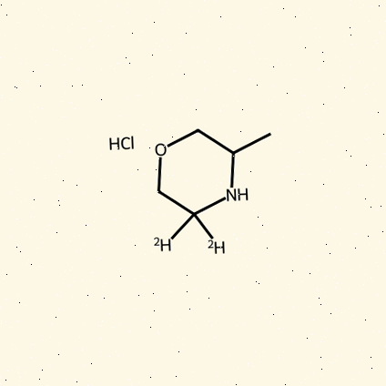 Cl.[2H]C1([2H])COCC(C)N1